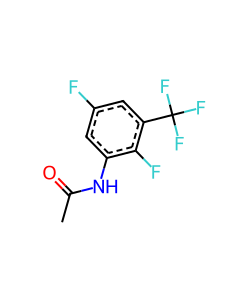 CC(=O)Nc1cc(F)cc(C(F)(F)F)c1F